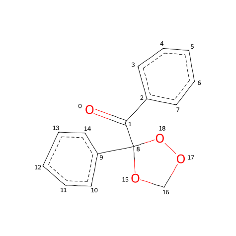 O=C(c1ccccc1)C1(c2ccccc2)OCOO1